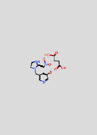 O=C(O)CCC(=O)O.O=[N+]([O-])/C=C1\NCCN1Cc1cncc(Br)c1